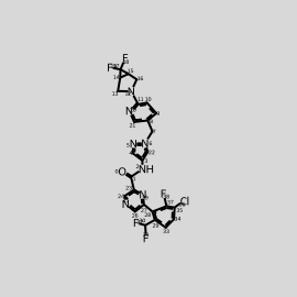 O=C(Nc1cnn(Cc2ccc(N3CC4C(C3)C4(F)F)nc2)c1)c1cncc(-c2c(C(F)F)ccc(Cl)c2F)n1